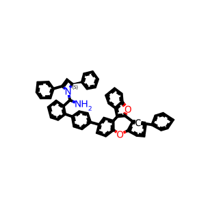 NC(c1ccccc1-c1ccc(-c2ccc3c(c2)-c2c(oc4ccccc24)-c2cc(-c4ccccc4)ccc2O3)cc1)N1C(c2ccccc2)=C[C@H]1c1ccccc1